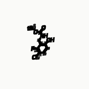 CC(C)(C)OC(=O)NCc1c(O)ccc(Cl)c1F